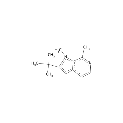 Cc1nccc2cc(C(C)(C)C)n(C)c12